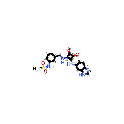 CS(=O)(=O)Nc1cccc(CNc2c(Nc3ccc4nc[nH]c4c3)c(=O)c2=O)c1